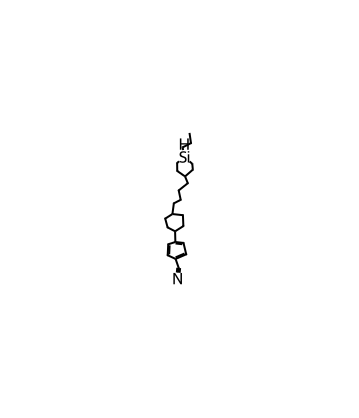 CCC[SiH]1CCC(CCCCC2CCC(c3ccc(C#N)cc3)CC2)CC1